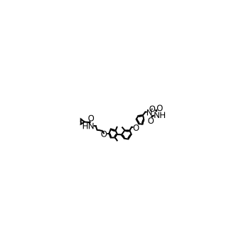 Cc1cc(OCCCNC(=O)C2CC2)cc(C)c1-c1cccc(COc2ccc(Cn3oc(=O)[nH]c3=O)cc2)c1C